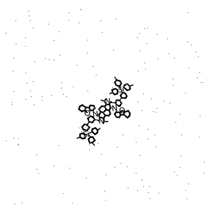 Cc1ccc([Si](c2ccc(C)cc2)(c2ccc(C)cc2)c2cccc(-c3ccc(N(c4cc(C(C)C)c5ccc6c(N(c7ccc(-c8cccc([Si](c9ccc(C)cc9)(c9ccc(C)cc9)c9ccc(C)cc9)c8)cc7C#N)c7cccc8c7oc7ccccc78)cc(C(C)C)c7ccc4c5c76)c4cccc5c4oc4ccccc45)c(C#N)c3)c2)cc1